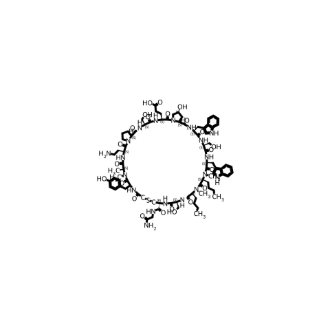 CCCC[C@H]1C(=O)N(C)[C@@H](CCCC)C(=O)N[C@@H](CO)C(=O)N[C@H](C(=O)NCC(N)=O)CSCC(=O)NC(Cc2ccc(O)cc2)C(=O)N(C)[C@@H](C)C(=O)N[C@@H](CCN)C(=O)N2CCC[C@H]2C(=O)N[C@@H](CO)C(=O)N[C@@H](CCC(=O)O)C(=O)N2C[C@H](O)C[C@H]2C(=O)N[C@@H](Cc2c[nH]c3ccccc23)C(=O)N[C@@H](CO)C(=O)N[C@@H](Cc2c[nH]c3ccccc23)C(=O)N1C